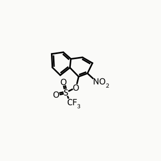 O=[N+]([O-])c1ccc2ccccc2c1OS(=O)(=O)C(F)(F)F